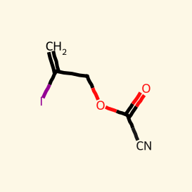 C=C(I)COC(=O)C#N